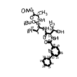 COC(=O)[C@H](C)NB(OCC(C)C)[C@H](CC(C)C)NC(=O)[C@@H](NC(=O)c1cccc(-c2ccccc2)n1)[C@@H](C)O